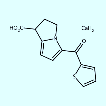 O=C(c1cccs1)c1ccc2n1CCC2C(=O)O.[CaH2]